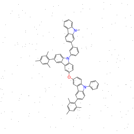 Cc1cc(C)c(-c2ccc3c(c2)c2cc(Oc4ccc5c(c4)c4cc(-c6c(C)cc(C)cc6C)ccc4n5-c4cccc(-c5ccc6c7ccccc7n(C)c6c5)c4)ccc2n3-c2ccccc2)c(C)c1